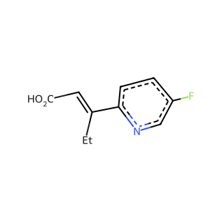 CC/C(=C\C(=O)O)c1ccc(F)cn1